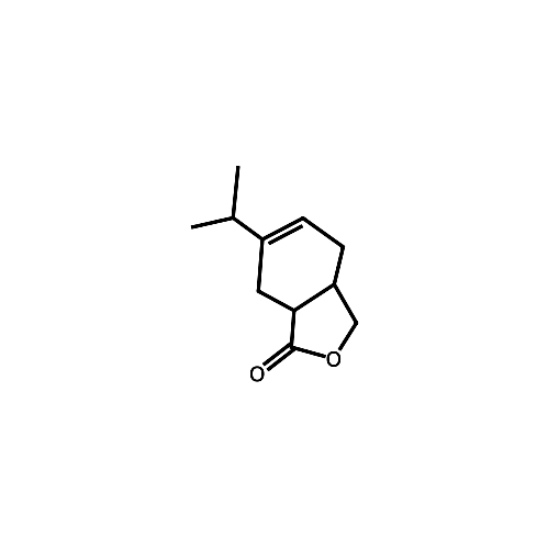 CC(C)C1=CCC2COC(=O)C2C1